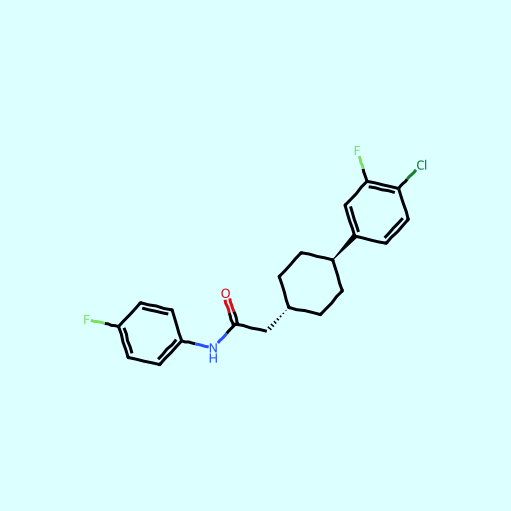 O=C(C[C@H]1CC[C@H](c2ccc(Cl)c(F)c2)CC1)Nc1ccc(F)cc1